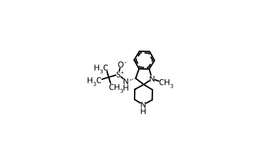 CN1c2ccccc2[C@@H](N[S+]([O-])C(C)(C)C)C12CCNCC2